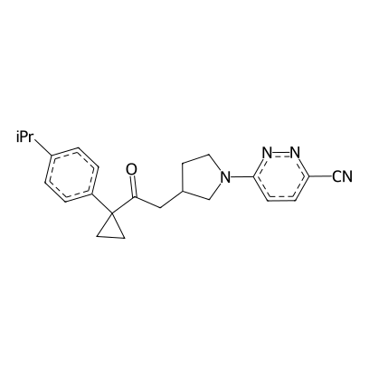 CC(C)c1ccc(C2(C(=O)CC3CCN(c4ccc(C#N)nn4)C3)CC2)cc1